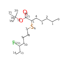 CCCCCC(SCCCCC(F)CC)C(=O)OC(C)(C)C